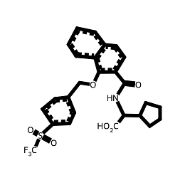 O=C(NC(C(=O)O)C1CCCC1)c1ccc2ccccc2c1OCc1ccc(S(=O)(=O)C(F)(F)F)cc1